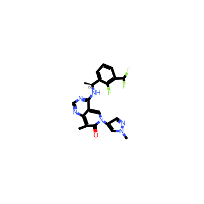 Cc1c(=O)n(-c2cnn(C)c2)cc2c(N[C@@H](C)c3cccc(C(F)F)c3F)ncnc12